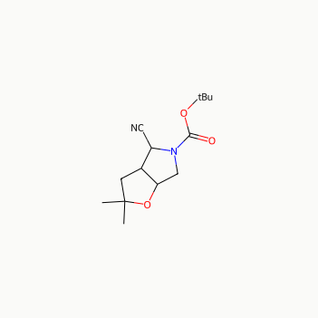 CC(C)(C)OC(=O)N1CC2OC(C)(C)CC2C1C#N